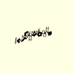 O=C(NC12CC(C1)C2)O[C@H]1CC[C@@H](c2cc(Nc3nccc4nc(CN5CC(F)(F)C5)cn34)n[nH]2)[C@@H]1F